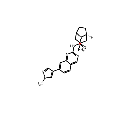 Cn1cc(-c2ccc3cnc(NC(=O)N4C5CC[C@H]4CC(N)C5)nc3c2)cn1